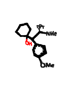 CCC[C@H](NC)C(c1ccc(OC)cc1)C1(O)CCCCC1